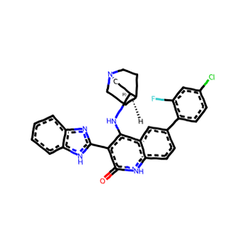 O=c1[nH]c2ccc(-c3ccc(Cl)cc3F)cc2c(N[C@H]2CN3CCC2CC3)c1-c1nc2ccccc2[nH]1